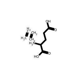 C=C.C=C.NC(CCC(=O)O)C(=O)O